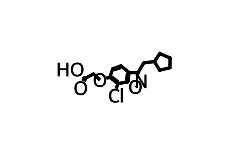 O=C(O)COc1ccc2c(CC3CCCC3)noc2c1Cl